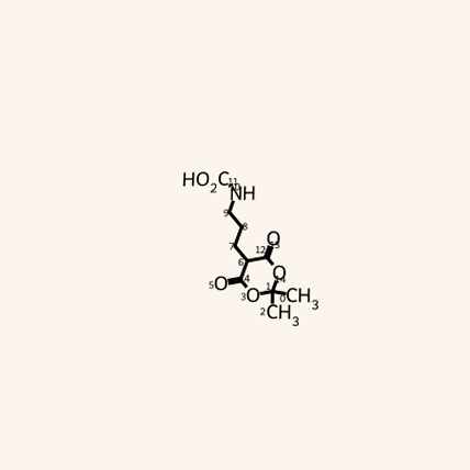 CC1(C)OC(=O)C(CCCNC(=O)O)C(=O)O1